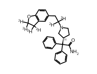 [2H]C([2H])(Cc1ccc2c(c1)C([2H])([2H])C([2H])([2H])O2)N1CC[C@@H](C(C(N)=O)(c2ccccc2)c2ccccc2)C1